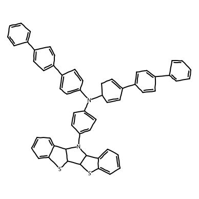 C1=CC(N(c2ccc(-c3ccc(-c4ccccc4)cc3)cc2)c2ccc(N3C4c5ccccc5SC4C4Sc5ccccc5C43)cc2)CC=C1c1ccc(-c2ccccc2)cc1